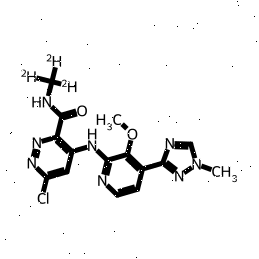 [2H]C([2H])([2H])NC(=O)c1nnc(Cl)cc1Nc1nccc(-c2ncn(C)n2)c1OC